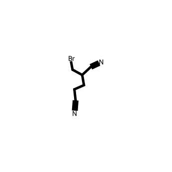 N#CCCC(C#N)CBr